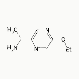 CCOc1cnc([C@@H](C)N)cn1